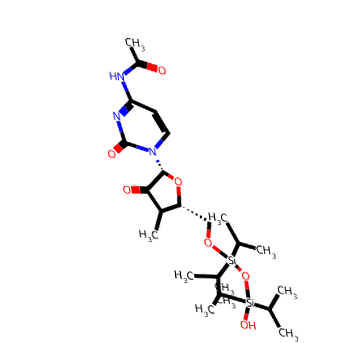 CC(=O)Nc1ccn([C@@H]2O[C@H](CO[Si](O[Si](O)(C(C)C)C(C)C)(C(C)C)C(C)C)C(C)C2=O)c(=O)n1